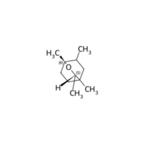 CC1CC2(C)CC[C@@]1(C)O[C@H]2C